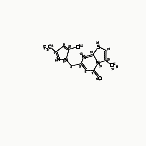 O=c1cc(Cn2nc(C(F)(F)F)cc2Cl)nc2scc(C(F)(F)F)n12